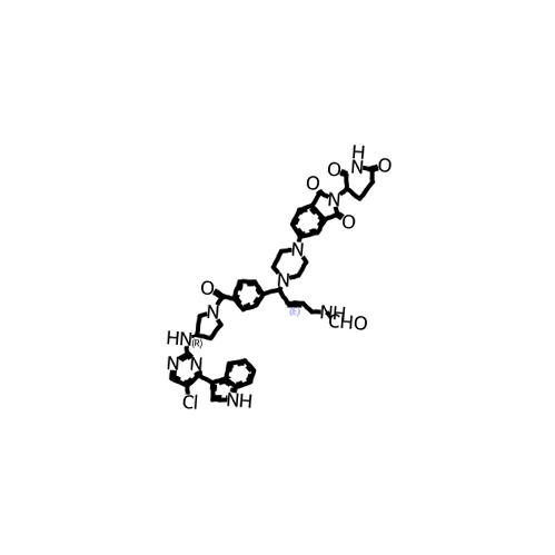 O=CNC/C=C/C(c1ccc(C(=O)N2CC[C@@H](Nc3ncc(Cl)c(-c4c[nH]c5ccccc45)n3)C2)cc1)N1CCN(c2ccc3c(c2)C(=O)N(C2CCC(=O)NC2=O)C3=O)CC1